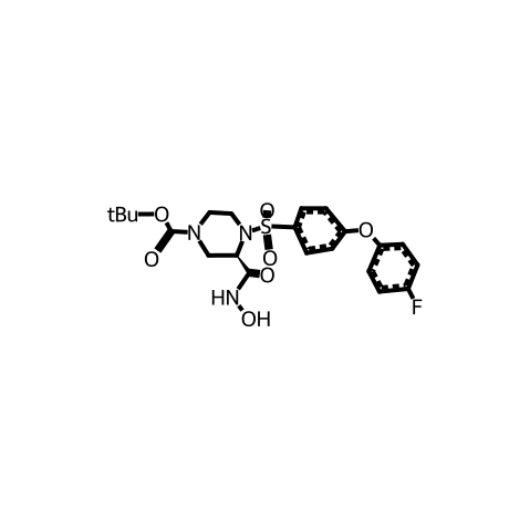 CC(C)(C)OC(=O)N1CCN(S(=O)(=O)c2ccc(Oc3ccc(F)cc3)cc2)[C@@H](C(=O)NO)C1